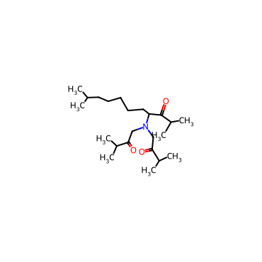 CC(C)CCCCCC(C(=O)C(C)C)N(CC(=O)C(C)C)CC(=O)C(C)C